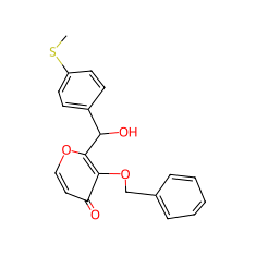 CSc1ccc(C(O)c2occc(=O)c2OCc2ccccc2)cc1